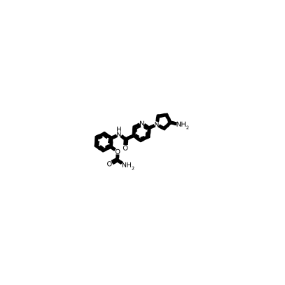 NC(=O)Oc1ccccc1NC(=O)c1ccc(N2CCC(N)C2)nc1